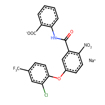 O=C([O-])c1ccccc1NC(=O)c1cc(Oc2ccc(C(F)(F)F)cc2Cl)ccc1[N+](=O)[O-].[Na+]